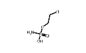 NP(=O)(O)OCCCl